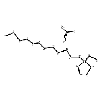 CC(=O)[O-].CCCCCCCCCCCC[N+](CC)(CC)CC